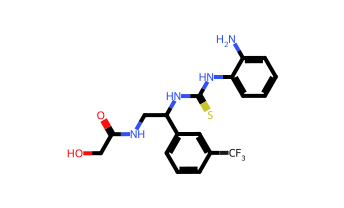 Nc1ccccc1NC(=S)NC(CNC(=O)CO)c1cccc(C(F)(F)F)c1